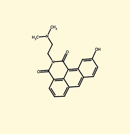 CN(C)CCN1C(=O)c2cccc3cc4ccc(O)cc4c(c23)C1=O